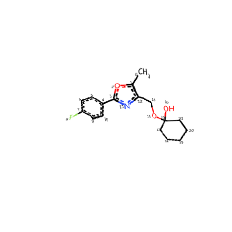 Cc1oc(-c2ccc(F)cc2)nc1COC1(O)CCCCC1